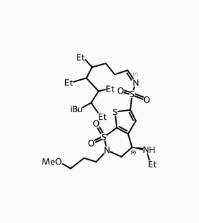 CCN[C@H]1CN(CCCOC)S(=O)(=O)c2sc(S(=O)(=O)/N=C\CCC(CC)C(CC)C(CC)C(CC)C(C)CC)cc21